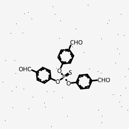 O=Cc1ccc(OP(=S)(Oc2ccc(C=O)cc2)Oc2ccc(C=O)cc2)cc1